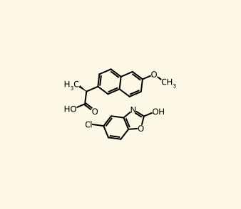 COc1ccc2cc([C@H](C)C(=O)O)ccc2c1.Oc1nc2cc(Cl)ccc2o1